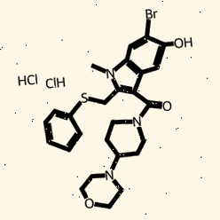 Cl.Cl.Cn1c(CSc2ccccc2)c(C(=O)N2CCC(N3CCOCC3)CC2)c2cc(O)c(Br)cc21